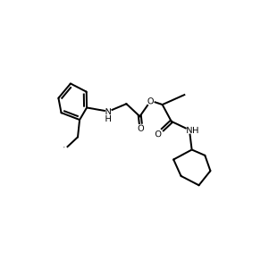 [CH2]Cc1ccccc1NCC(=O)OC(C)C(=O)NC1CCCCC1